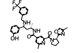 Cc1cc(C(=O)N[C@@H](C)CC(NCc2cccc(C(F)(F)F)c2)c2cccc(O)c2)cc(C(=O)N2CCC[C@@H]2c2nc(C)co2)n1